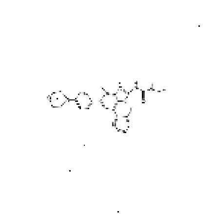 CCNC(=O)Nc1nc2c(F)c(-c3ccc(N4CCOCC4)nc3)cc(-c3ncccc3F)c2s1